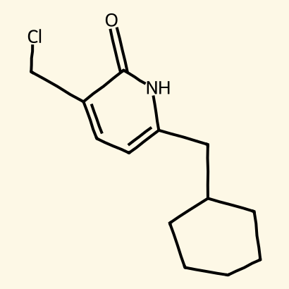 O=c1[nH]c(CC2CCCCC2)ccc1CCl